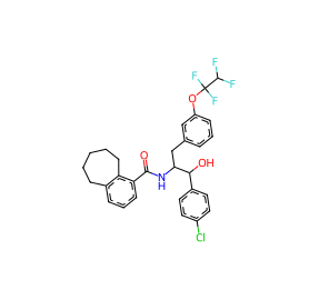 O=C(NC(Cc1cccc(OC(F)(F)C(F)F)c1)C(O)c1ccc(Cl)cc1)c1cccc2c1CCCCC2